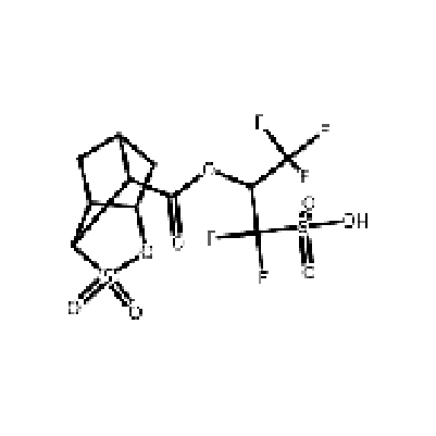 O=C(OC(C(F)(F)F)C(F)(F)S(=O)(=O)O)C1C2CC3OS(=O)(=O)C1C3C2